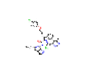 Cc1cc(OCCCc2c3n(c4c(-c5c(C)ncnc5C)cccc24)C(C)C(Cl)N(c2nc(C(=O)O)cc4ccn(C)c24)C3=O)cc(C)c1Cl